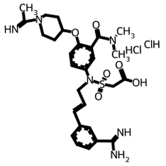 CC(=N)N1CCC(Oc2ccc(N(C/C=C/c3cccc(C(=N)N)c3)S(=O)(=O)CC(=O)O)cc2C(=O)N(C)C)CC1.Cl.Cl